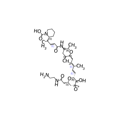 CC(/C=C/[C@H]1O[C@H](CC(=O)NCCN)C[C@@]2(CO2)[C@@H]1O)=C\C[C@@H]1O[C@H](C)[C@H](NC(=O)/C=C/C(C)[C@@H]2CCCCN2C(=O)O)C[C@@H]1C